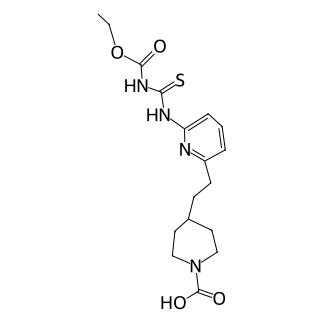 CCOC(=O)NC(=S)Nc1cccc(CCC2CCN(C(=O)O)CC2)n1